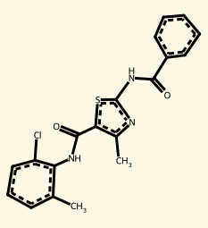 Cc1cccc(Cl)c1NC(=O)c1sc(NC(=O)c2ccccc2)nc1C